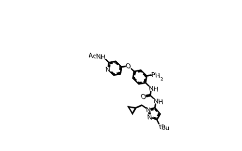 CC(=O)Nc1cc(Oc2ccc(NC(=O)Nc3cc(C(C)(C)C)nn3CC3CC3)c(P)c2)ccn1